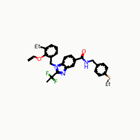 C=COc1c(CC)cccc1Cn1c(C(C)(F)F)nc2cc(C(=O)NCc3ccc(SCC)cc3)ccc21